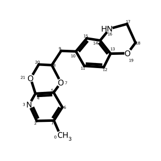 Cc1cnc2c(c1)OC(Cc1ccc3c(c1)NCCO3)CO2